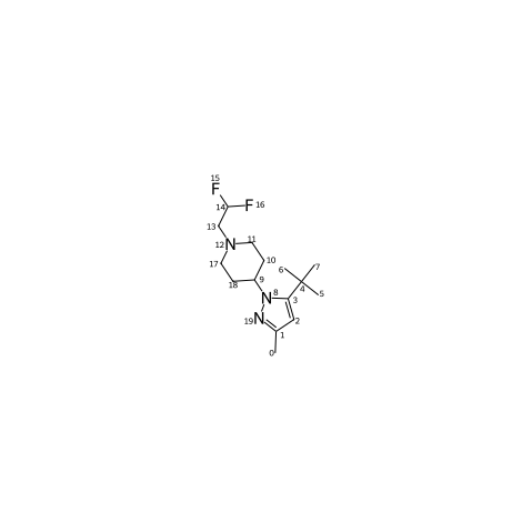 Cc1cc(C(C)(C)C)n(C2CCN(CC(F)F)CC2)n1